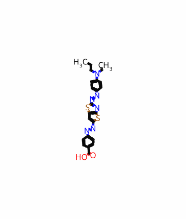 CCCN(CC)c1ccc(N=Nc2nc3sc(N=Nc4ccc(C(=O)O)cc4)cc3s2)cc1